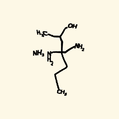 CCCC(N)(N)C(C)O.N